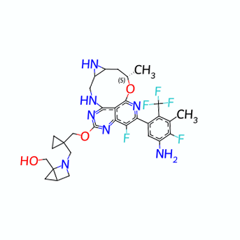 Cc1c(F)c(N)cc(-c2nc3c4c(nc(OCC5(CN6CC7CC76CO)CC5)nc4c2F)NCC2NC2C[C@H](C)O3)c1C(F)(F)F